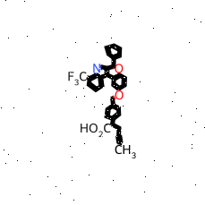 CC#CCC(C(=O)O)c1ccc(COc2cccc(-c3c(C(=O)c4ccccc4)cnc4c(C(F)(F)F)cccc34)c2)cc1